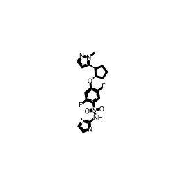 Cn1nccc1[C@H]1CCC[C@@H]1Oc1cc(F)c(S(=O)(=O)Nc2nccs2)cc1F